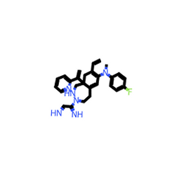 C=CC1=C(N(C)c2ccc(F)cc2)C=C2CCN(C(=N)C=N)NCC2(C(=C)c2ccccn2)C1